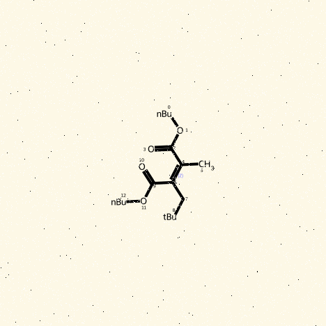 CCCCOC(=O)/C(C)=C(/CC(C)(C)C)C(=O)OCCCC